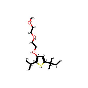 CCC(C)(C)c1cc(OCCOCCOC)c(C(C)C)s1